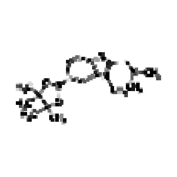 CN(C)Cc1nc2ccc(B3OC(C)(C)C(C)(C)O3)cc2n1C